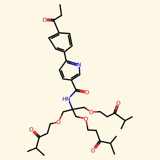 CCC(=O)c1ccc(-c2ccc(C(=O)NC(COCCC(=O)C(C)C)(COCCC(=O)C(C)C)COCCC(=O)C(C)C)cn2)cc1